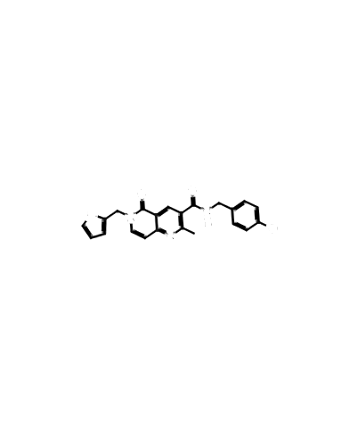 Cc1nc2ccn(Cc3ccco3)c(=O)c2cc1C(=O)NCc1ccc(Cl)cc1